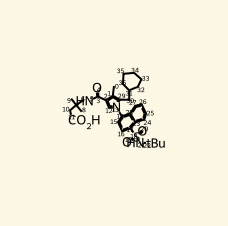 Cc1c(C(=O)NCC(C)(C)CC(=O)O)cn(-c2ccc(S(=O)(=O)NC(C)(C)C)c3ccccc23)c1CC1CCCCC1